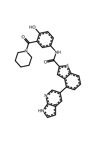 O=C(Nc1ccc(O)c(C(=O)N2CCCCC2)c1)c1cc2c(-c3cnc4[nH]ccc4c3)cccc2s1